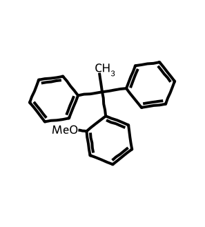 COc1ccccc1C(C)(c1ccccc1)c1ccccc1